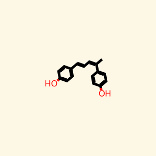 CC(=CC=Cc1ccc(O)cc1)c1ccc(O)cc1